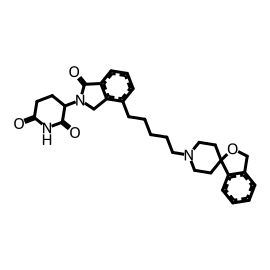 O=C1CCC(N2Cc3c(CCCCCN4CCC5(CC4)OCc4ccccc45)cccc3C2=O)C(=O)N1